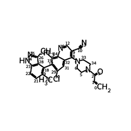 C=CC(=O)N1CCN(c2c(C#N)cnc3c(F)c(-c4c(C)ccc5[nH]nc(C)c45)c(Cl)cc23)CC1